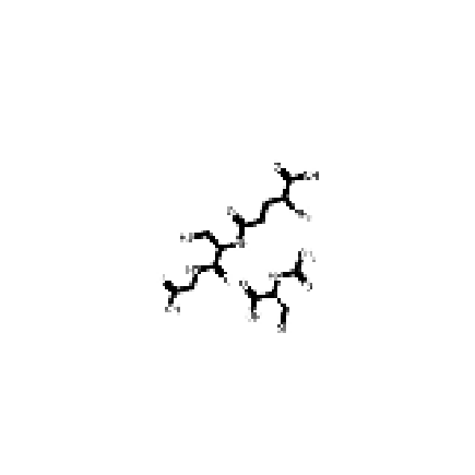 CC(=O)N[C@@H](CS)C(=O)O.NC(CCC(=O)NC(CS)C(=O)NCC(=O)O)C(=O)O